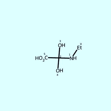 CCNC(O)(O)C(=O)O